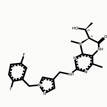 Cc1nc(NCc2cnn(Cc3cc(F)ccc3F)c2)nc2c1NC(=O)[C@H]([C@H](C)O)N2C